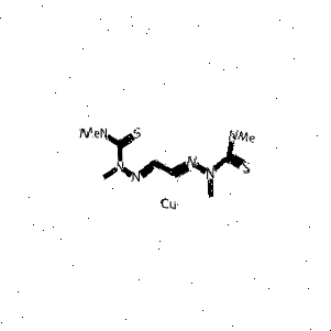 CNC(=S)N(C)N=CC=NN(C)C(=S)NC.[Cu]